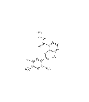 CCOC(=O)c1cccc(Br)c1COc1cc(F)c(C)cc1C